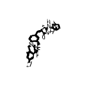 O=C1N=C(N[C@H]2CN3CCC2CC3)SC1=Cc1ccc2c(cnn2Cc2ccc(Cl)cc2C(F)(F)F)c1